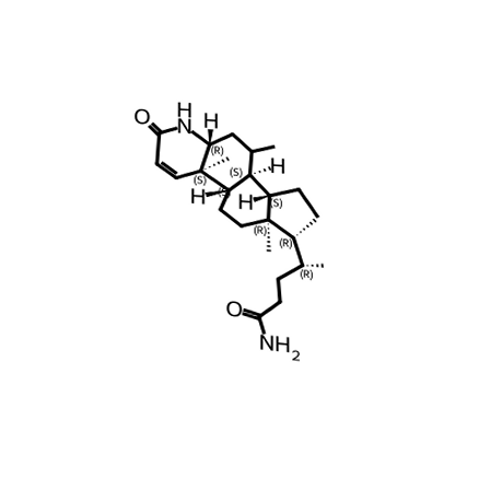 CC1C[C@H]2NC(=O)C=C[C@]2(C)[C@H]2CC[C@]3(C)[C@@H]([C@H](C)CCC(N)=O)CC[C@H]3[C@H]12